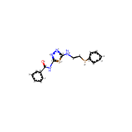 O=C(Nc1nnc(NCCSc2ccccc2)s1)c1ccccc1